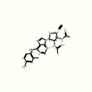 C#C[C@H]1O[C@@H](n2cnc3c(Nc4ccc(Cl)cc4C)ncnc32)[C@H](OC(C)=O)[C@@H]1OC(C)=O